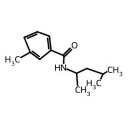 Cc1cccc(C(=O)NC(C)CC(C)C)c1